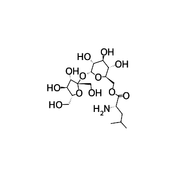 CC(C)C[C@H](N)C(=O)OC[C@H]1O[C@H](O[C@]2(CO)O[C@H](CO)[C@@H](O)[C@@H]2O)[C@H](O)[C@@H](O)[C@@H]1O